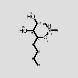 CCCCC(O[SiH](C)C)C(O)CO